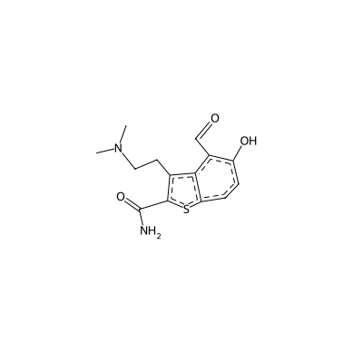 CN(C)CCc1c(C(N)=O)sc2ccc(O)c(C=O)c12